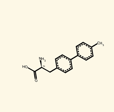 Cc1ccc(-c2ccc(C[C@H](N)C(=O)O)cc2)cc1